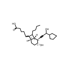 CCCCC1C(=CCCCC(=O)O)[C@H]2CC[C@@H](O)[C@H](C#CC(O)C3CCCC3)[C@@H]12